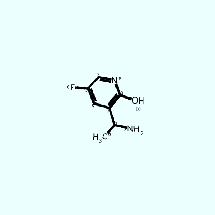 CC(N)c1cc(F)cnc1O